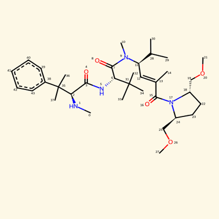 CN[C@H](C(=O)N[C@H](C(=O)N(C)[C@H](/C=C(\C)C(=O)N1[C@H](COC)CC[C@H]1COC)C(C)C)C(C)(C)C)C(C)(C)c1ccccc1